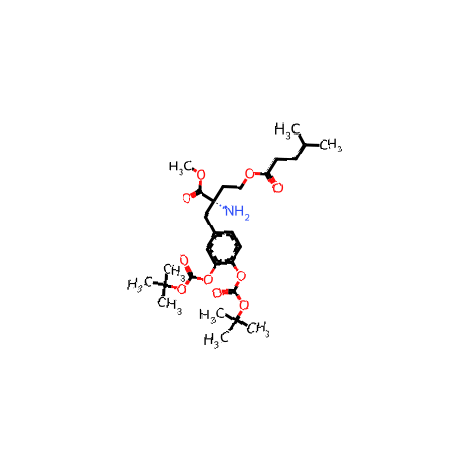 COC(=O)[C@@](N)(CCOC(=O)CCC(C)C)Cc1ccc(OC(=O)OC(C)(C)C)c(OC(=O)OC(C)(C)C)c1